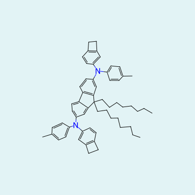 CCCCCCCCC1(CCCCCCCC)c2cc(N(c3ccc(C)cc3)c3ccc4c(c3)CC4)ccc2-c2ccc(N(c3ccc(C)cc3)c3ccc4c(c3)CC4)cc21